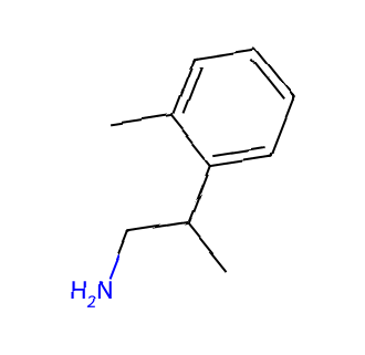 Cc1ccccc1C(C)CN